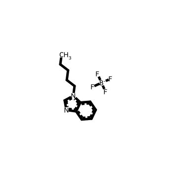 CCCCCn1cnc2ccccc21.F[B-](F)(F)F